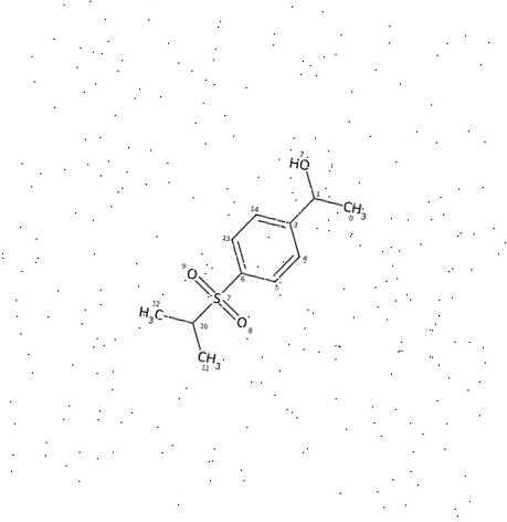 CC(O)c1ccc(S(=O)(=O)C(C)C)cc1